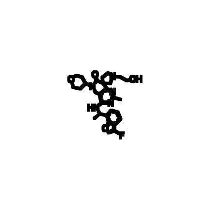 Cc1nc(N[C@H](C)c2cccc3c(F)coc23)c2c(n1)C1(CCN(CCO)C1)C(=O)N(C1CCOCC1)C2